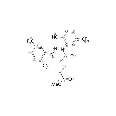 COC(=O)CCCC(=O)N(/N=N/c1cc(C(F)(F)F)ccc1C#N)c1cc(C(F)(F)F)ccc1C#N